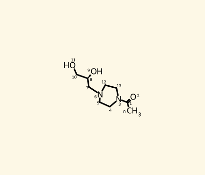 CC(=O)N1CCN(C[C@H](O)CO)CC1